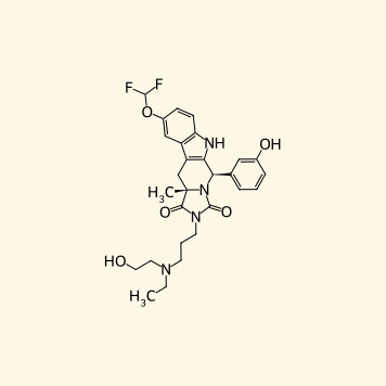 CCN(CCO)CCCN1C(=O)N2[C@H](c3cccc(O)c3)c3[nH]c4ccc(OC(F)F)cc4c3C[C@@]2(C)C1=O